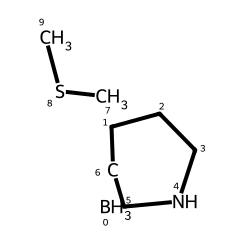 B.C1CCNCC1.CSC